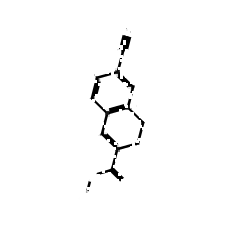 COC(=O)C1=Cc2ccc(C#N)cc2CC1